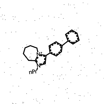 CCCn1cc(-c2ccc(-c3ccccc3)cc2)[n+]2c1CCCCC2